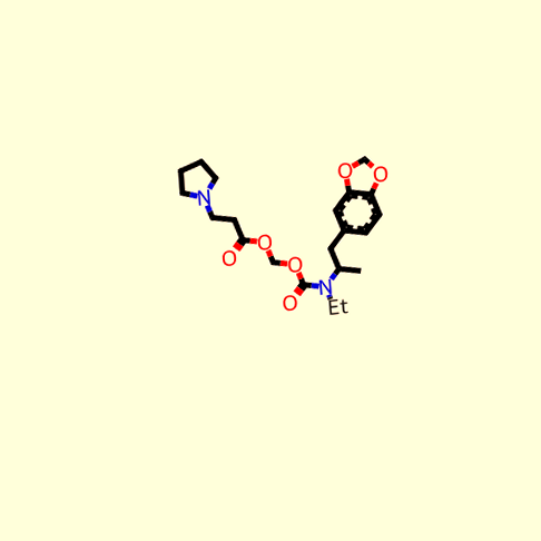 CCN(C(=O)OCOC(=O)CCN1CCCC1)C(C)Cc1ccc2c(c1)OCO2